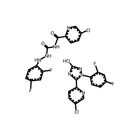 O=C(NNc1ccc(F)cc1F)NC(=O)c1ccc(Cl)cn1.Oc1nc(-c2ccc(Cl)cn2)n(-c2ccc(F)cc2F)n1